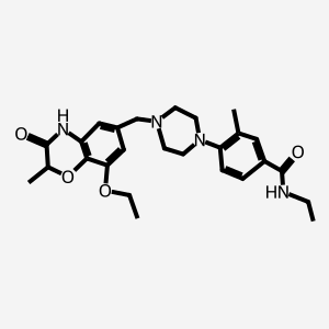 CCNC(=O)c1ccc(N2CCN(Cc3cc4c(c(OCC)c3)OC(C)C(=O)N4)CC2)c(C)c1